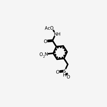 CC(=O)ONC(=O)c1ccc(C[SH](=O)=O)cc1[N+](=O)[O-]